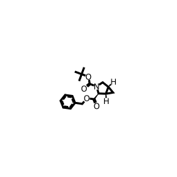 CC(C)(C)OC(=O)N1C[C@@H]2C[C@@H]2[C@H]1C(=O)OCc1ccccc1